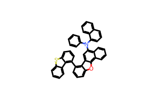 c1ccc(N(c2cccc3ccccc23)c2cc3c(oc4cccc(-c5cccc6sc7ccccc7c56)c43)c3ccccc23)cc1